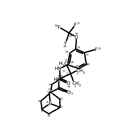 CC(C)(C)NC(=O)CN1C2CC1CN(CC(=O)Nc1ccc(F)c(OC(F)(F)F)c1)C2